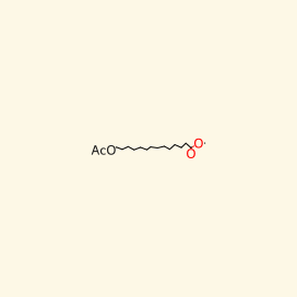 CC(=O)OCCCCCCCCCCCCCC([O])=O